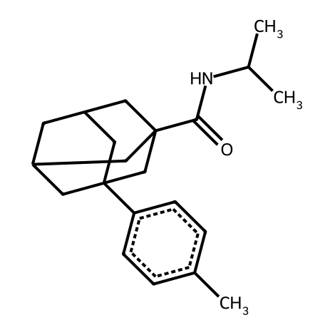 Cc1ccc(C23CC4CC(CC(C(=O)NC(C)C)(C4)C2)C3)cc1